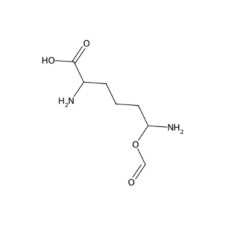 NC(CCCC(N)C(=O)O)OC=O